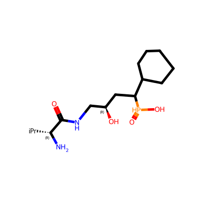 CC(C)[C@@H](N)C(=O)NC[C@H](O)CC(C1CCCCC1)[PH](=O)O